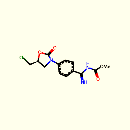 COC(=O)NC(=N)c1ccc(N2C[C@@H](CCl)OC2=O)cc1